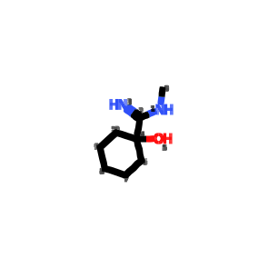 CNC(=N)C1(O)CCCCC1